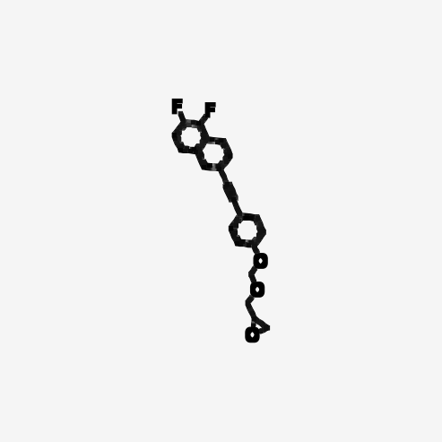 Fc1ccc2cc(C#Cc3ccc(OCOCC4CO4)cc3)ccc2c1F